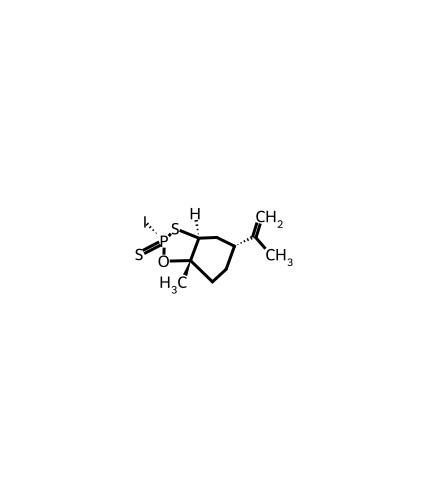 C=C(C)[C@@H]1CC[C@]2(C)O[P@](=S)(I)S[C@H]2C1